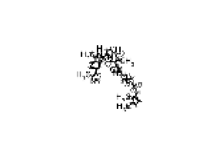 Cc1ncsc1-c1ccc(C(C)NC(=O)C2CCCN2C(=O)C(c2cc(N3CC4(CN(C(=O)OCC5CC[C@@H](C)N5C)C4)C3)no2)C(C)C)cc1